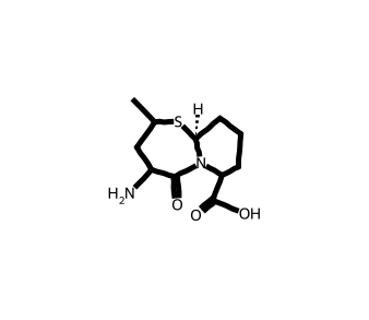 CC1CC(N)C(=O)N2C(C(=O)O)CCC[C@@H]2S1